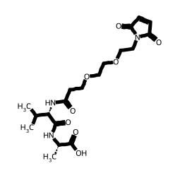 CC(C)[C@H](NC(=O)CCOCCOCCN1C(=O)C=CC1=O)C(=O)N[C@@H](C)C(=O)O